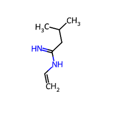 C=CNC(=N)CC(C)C